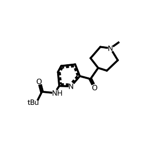 CN1CCC(C(=O)c2cccc(NC(=O)C(C)(C)C)n2)CC1